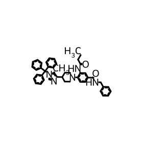 CCCC(=O)Nc1cc(C(=O)NCc2ccccc2)ccc1N1CCC(c2ncn(C(c3ccccc3)(c3ccccc3)c3ccccc3)c2C)CC1